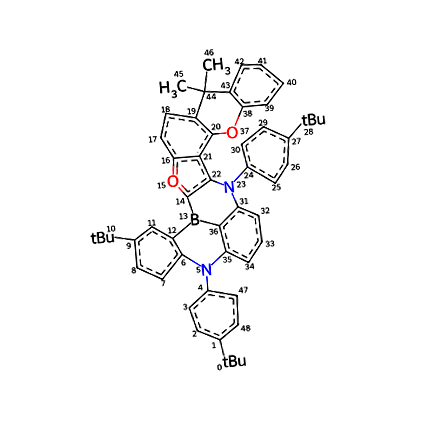 CC(C)(C)c1ccc(N2c3ccc(C(C)(C)C)cc3B3c4oc5ccc6c(c5c4N(c4ccc(C(C)(C)C)cc4)c4cccc2c43)Oc2ccccc2C6(C)C)cc1